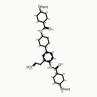 C=CCc1cc(C2CCC(OC(=O)C3CCC(CCCCC)CC3)CC2)ccc1OC(=O)C1CCC(CCCCC)CC1